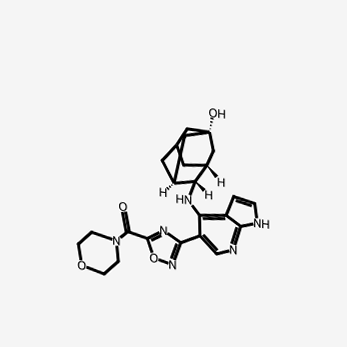 O=C(c1nc(-c2cnc3[nH]ccc3c2N[C@H]2[C@@H]3CC4C[C@H]2C[C@@](O)(C4)C3)no1)N1CCOCC1